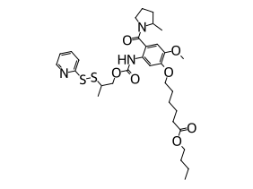 CCCCOC(=O)CCCCCOc1cc(NC(=O)OCC(C)SSc2ccccn2)c(C(=O)N2CCCC2C)cc1OC